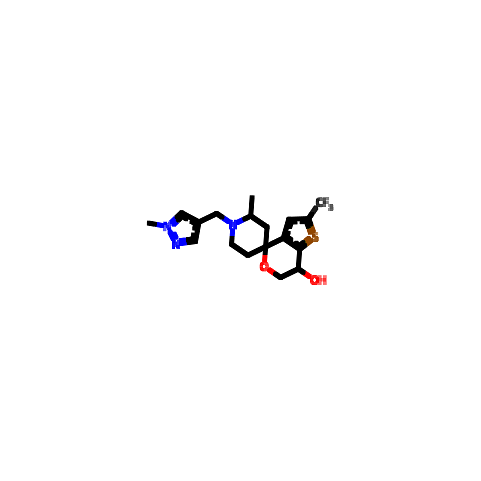 CC1CC2(CCN1Cc1cnn(C)c1)OCC(O)c1sc(C(F)(F)F)cc12